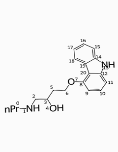 CCCNCC(O)CCOc1cccc2[nH]c3ccccc3c12